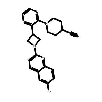 N#CC1CCN(c2nccnc2C2CN(c3ccc4cc(Br)ccc4n3)C2)CC1